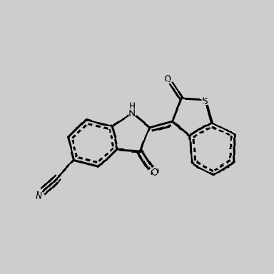 N#Cc1ccc2c(c1)C(=O)/C(=C1/C(=O)Sc3ccccc31)N2